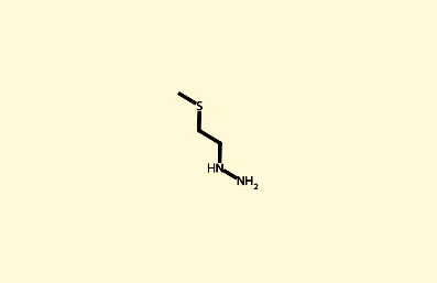 CSCCNN